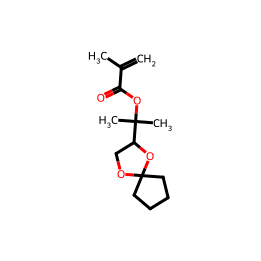 C=C(C)C(=O)OC(C)(C)C1COC2(CCCC2)O1